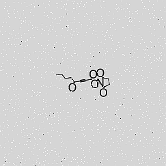 CCCCC(=O)C#CC(=O)ON1C(=O)CCC1=O